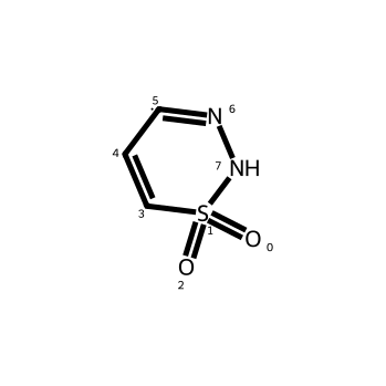 O=S1(=O)C=C[C]=NN1